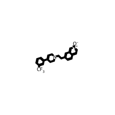 [O-][n+]1ccc2ccc(CCN3CC=C(c4cccc(C(F)(F)F)c4)CC3)cc2c1